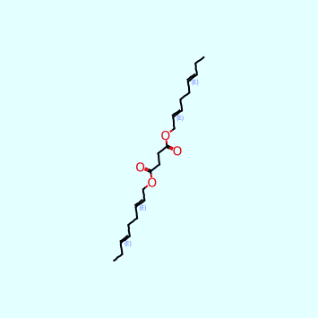 CC/C=C/CC/C=C/COC(=O)CCC(=O)OC/C=C/CC/C=C/CC